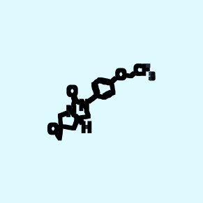 O=C1N(c2ccc(OCC(F)(F)F)cc2)C[C@@H]2CC3(CO3)CN12